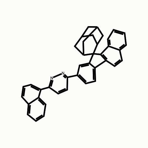 c1ccc2c(-c3ccc(-c4ccc5c(c4)C4(c6c-5ccc5ccccc65)C5CC6CC(C5)CC4C6)nn3)cccc2c1